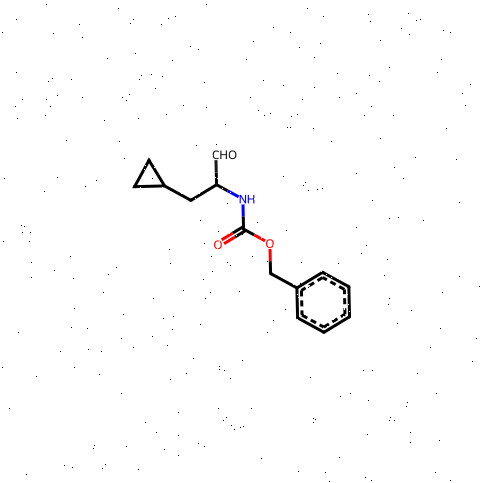 O=CC(CC1CC1)NC(=O)OCc1ccccc1